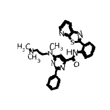 CN(C)CCN(C)c1cc(C(=O)Nc2ccccc2-c2nc3cccnc3s2)nc(-c2ccccc2)n1